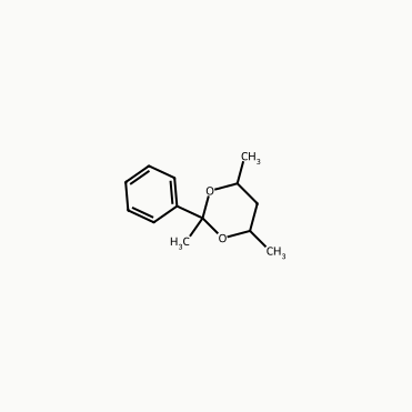 CC1CC(C)OC(C)(c2ccccc2)O1